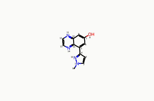 Cn1ccc(-c2cc(O)[c]c3nccnc23)n1